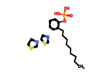 CCCCCCCCCc1ccccc1OP(=O)(O)O.c1cscn1.c1cscn1